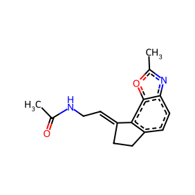 CC(=O)NCC=C1CCc2ccc3nc(C)oc3c21